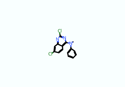 CN(c1ccccc1)c1nc(Cl)nc2cc(Cl)ccc12